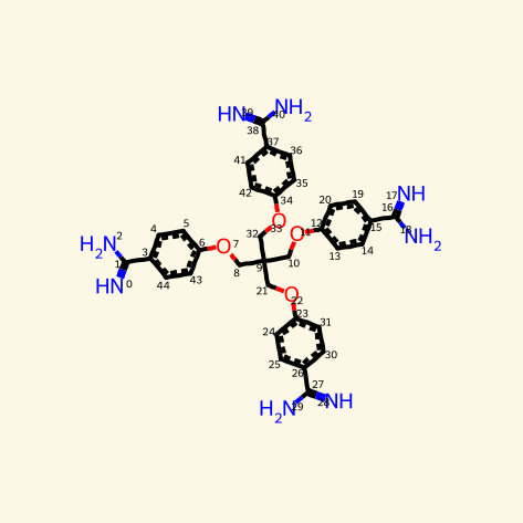 N=C(N)c1ccc(OCC(COc2ccc(C(=N)N)cc2)(COc2ccc(C(=N)N)cc2)COc2ccc(C(=N)N)cc2)cc1